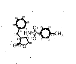 Cc1ccc(S(=O)(=O)N[C@@H]2COC(=O)[C@H]2Cc2ccccc2)cc1